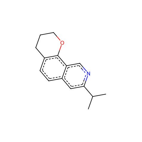 CC(C)c1cc2ccc3c(c2cn1)OCCC3